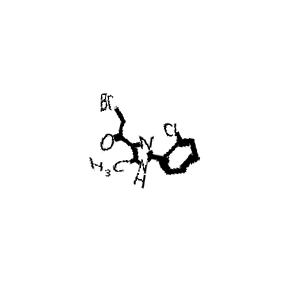 Cc1[nH]c(-c2ccccc2Cl)nc1C(=O)CBr